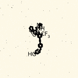 C=C(Nc1nccs1)C(c1ncn2c1CCC2)N1Cc2c(cc(C#Cc3ccc(CN4CCC(O)CC4)cc3)cc2C(F)(F)F)C1=O